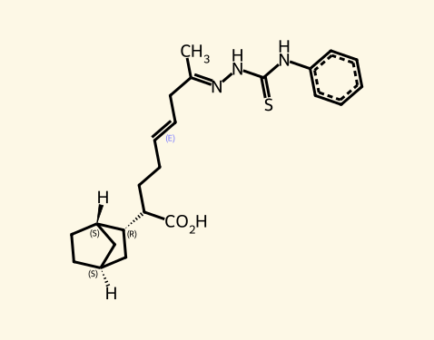 CC(C/C=C/CCC(C(=O)O)[C@@H]1C[C@H]2CC[C@H]1C2)=NNC(=S)Nc1ccccc1